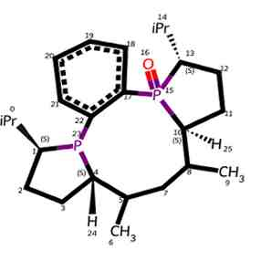 CC(C)[C@@H]1CC[C@H]2C(C)CC(C)[C@@H]3CC[C@@H](C(C)C)P3(=O)c3ccccc3P12